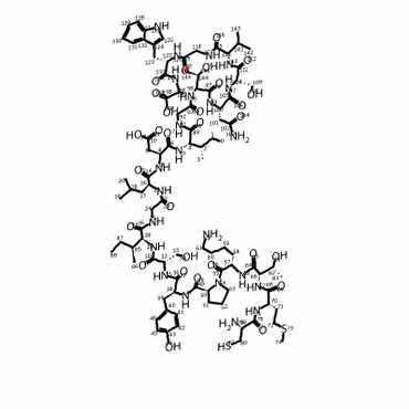 CC[C@H](C)[C@H](NC(=O)[C@H](CC(=O)O)NC(=O)[C@H](CC(C)C)NC(=O)CNC(=O)[C@@H](NC(=O)[C@H](CO)NC(=O)[C@H](Cc1ccc(O)cc1)NC(=O)[C@@H]1CCCN1C(=O)[C@H](CCCCN)NC(=O)[C@@H](NC(=O)[C@H](CCSC)NC(=O)[C@@H](N)CS)[C@@H](C)O)[C@@H](C)CC)C(=O)NCC(=O)N[C@H](C(=O)N[C@@H](CC(N)=O)C(=O)N[C@@H](CO)C(=O)N[C@H](C(=O)NCC(=O)N[C@@H](Cc1c[nH]c2ccccc12)C(=O)N[C@@H](C)C(=O)O)C(C)C)[C@@H](C)O